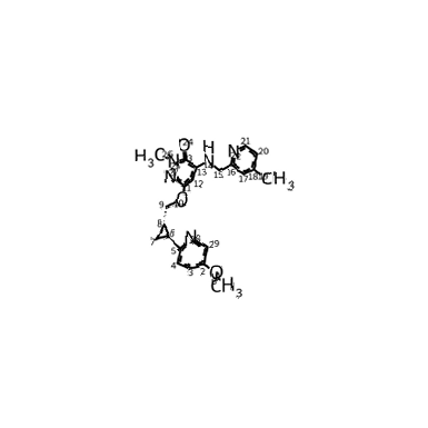 COc1ccc([C@H]2C[C@@H]2COc2cc(NCc3cc(C)ccn3)c(=O)n(C)n2)nc1